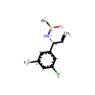 C=C[C@@H](N[S+]([O-])C(C)(C)C)c1cc(Br)cc(C(F)(F)F)c1